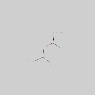 CCCCCCCCCC(C)OC(CCCCCC)S(=O)(=O)O